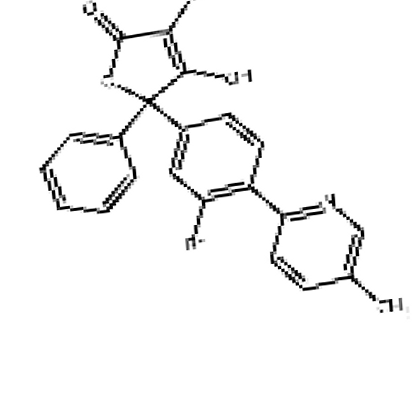 Cc1ccc(-c2ccc(C3(c4ccccc4)OC(=O)C(O)=C3O)cc2Br)nc1